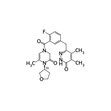 CC1=CN(C(=O)c2cc(Cc3n[nH]c(=O)c(C)c3C)ccc2F)CC(=O)N1[C@H]1CCOC1